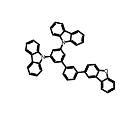 c1cc(-c2cc(-n3c4ccccc4c4ccccc43)cc(-n3c4ccccc4c4ccccc43)c2)cc(-c2ccc3oc4ccccc4c3c2)c1